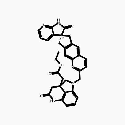 CCOC(=O)CC12CC(=O)Nc3cccc(c31)N(Cc1ccc3cc4c(cc3n1)C[C@@]1(C4)C(=O)Nc3ncccc31)C2